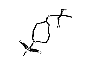 CCCC(C)(CC)OC1CCN(S(C)(=O)=O)CC1